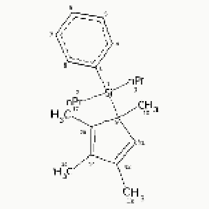 CCC[Si](CCC)(c1ccccc1)C1(C)[C]=C(C)C(C)=C1C